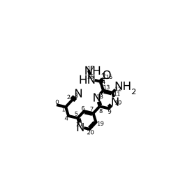 CC(C#N)Cc1cc(-c2cnc(N)c(C(=O)NN)n2)ccn1